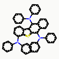 c1ccc(N(c2ccccc2)c2cccc3c2sc2c(N(c4ccccc4)c4ccccc4)c4ccccc4c(N(c4ccccc4)c4ccccc4)c23)cc1